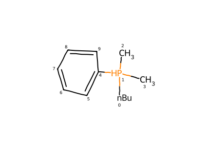 CCCC[PH](C)(C)c1ccccc1